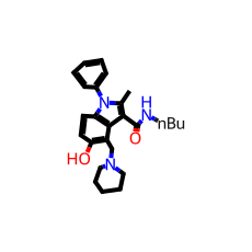 CCCCNC(=O)c1c(C)n(-c2ccccc2)c2ccc(O)c(CN3CCCCC3)c12